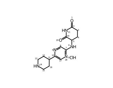 Cl.O=C1CCC(Nc2cnc(C3CCNCC3)cn2)C(=O)N1